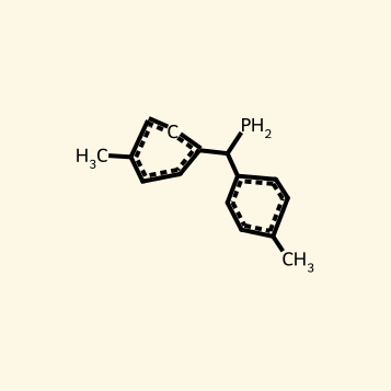 Cc1ccc(C(P)c2ccc(C)cc2)cc1